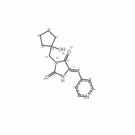 O=C1N/C(=C\c2ccncc2)C(=O)N1CC1(O)CCCC1